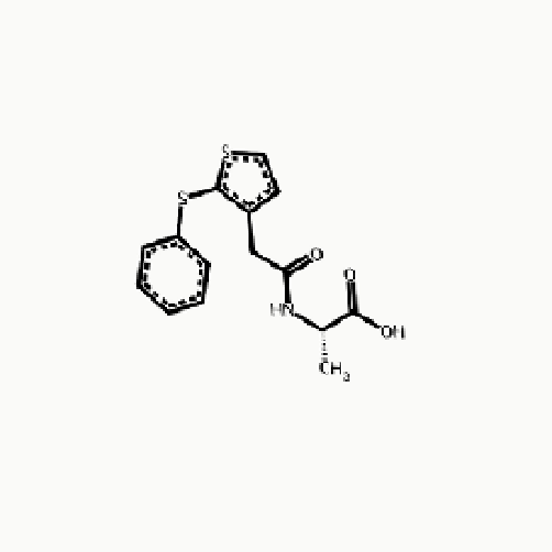 C[C@H](NC(=O)Cc1ccsc1Sc1ccccc1)C(=O)O